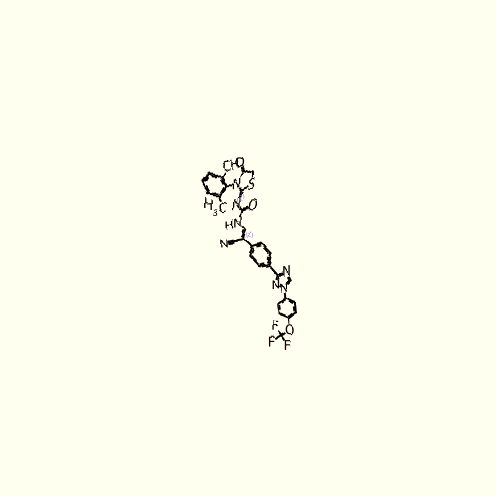 Cc1cccc(C)c1N1C(=O)CS/C1=N\C(=O)N/C=C(\C#N)c1ccc(-c2ncn(-c3ccc(OC(F)(F)F)cc3)n2)cc1